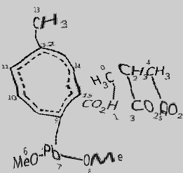 CC(=O)O.CC(=O)O.CC(=O)O.C[O][Pb]([O]C)[c]1ccc(C)cc1